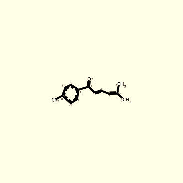 CC(C)=CC=CC(=O)c1ccc(Cl)cc1